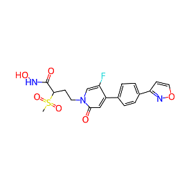 CS(=O)(=O)C(CCn1cc(F)c(-c2ccc(-c3ccon3)cc2)cc1=O)C(=O)NO